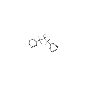 CC(C)(c1ccccc1)C(O)C(C)(C)c1ccccc1